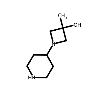 CC1(O)CN(C2CCNCC2)C1